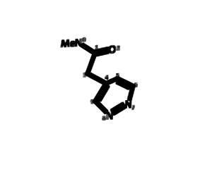 CNC(=O)Cc1ccnnc1